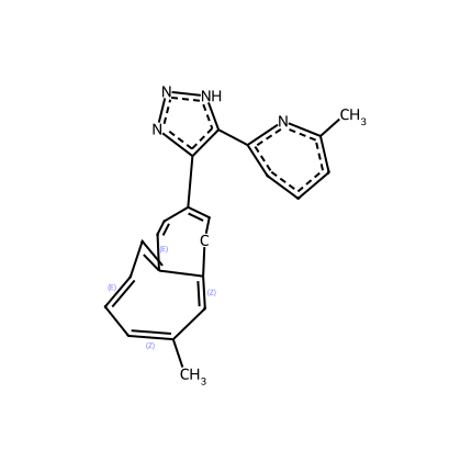 CC1=C/C=C/C=C2\C=CC(c3nn[nH]c3-c3cccc(C)n3)=CC\C2=C\1